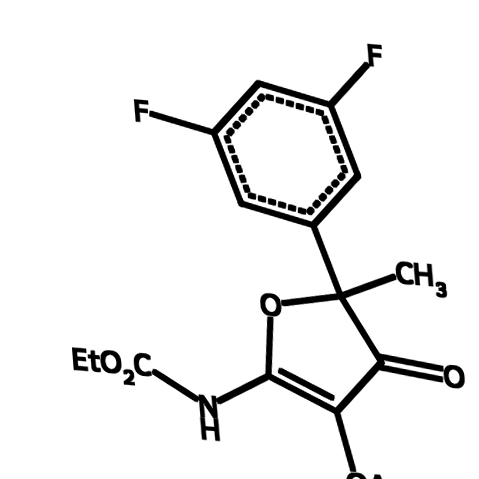 CCOC(=O)NC1=C(OC(C)=O)C(=O)C(C)(c2cc(F)cc(F)c2)O1